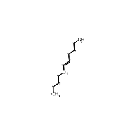 CCCCOC=CCCCO